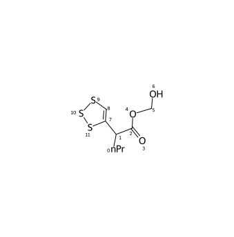 CCCC(C(=O)OCO)C1=CSSS1